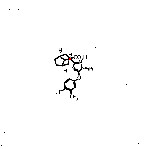 CC(C)n1nc(NC2[C@@H]3CC[C@H]2CN(C(=O)O)C3)nc1Oc1ccc(F)c(C(F)(F)F)c1